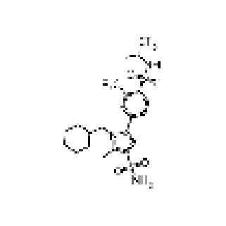 Cc1c(S(N)(=O)=O)cc(-c2ccc(S(=O)(=O)N[C@H](C)C(F)(F)F)c(C(F)(F)F)c2)n1CC1CCCCC1